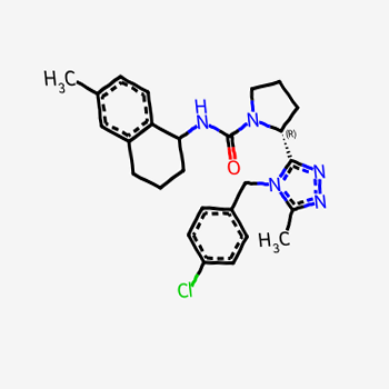 Cc1ccc2c(c1)CCCC2NC(=O)N1CCC[C@@H]1c1nnc(C)n1Cc1ccc(Cl)cc1